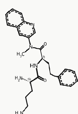 CN(C(=O)[C@@H](CCc1ccccc1)NC(=O)[C@@H](N)CCCN)c1cnc2ccccc2c1